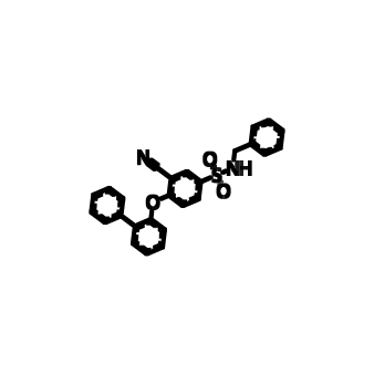 N#Cc1cc(S(=O)(=O)NCc2ccccc2)ccc1Oc1ccccc1-c1ccccc1